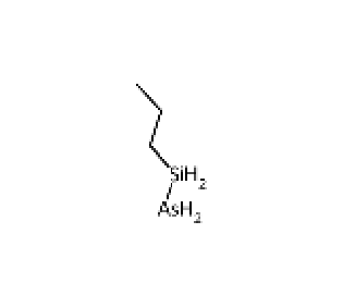 CCC[SiH2][AsH2]